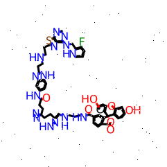 N=N/C(=C\NCCCNC(=O)c1ccc2c(c1)C1(OC2=O)c2ccc(O)cc2Oc2cc(O)ccc21)CCC1(CCC(=O)Nc2ccc3[nH]c(CCNCCc4nc5c(NCc6ncccc6F)ncnc5s4)nc3c2)N=N1